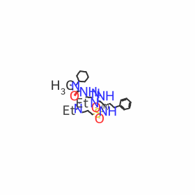 CCN(CC)CCCS(=O)(=O)N[C@H](CCc1ccccc1)c1nc(CNC(=O)N(C)C2CCCCC2)n[nH]1